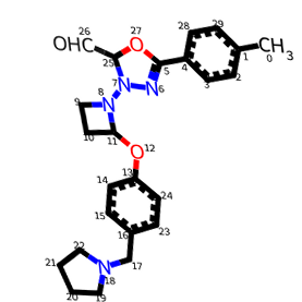 Cc1ccc(C2=NN(N3CCC3Oc3ccc(CN4CCCC4)cc3)C(C=O)O2)cc1